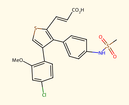 COc1cc(Cl)ccc1-c1csc(C=CC(=O)O)c1-c1ccc(NS(C)(=O)=O)cc1